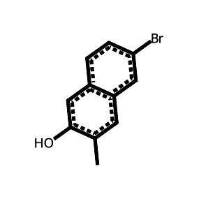 Cc1cc2cc(Br)ccc2cc1O